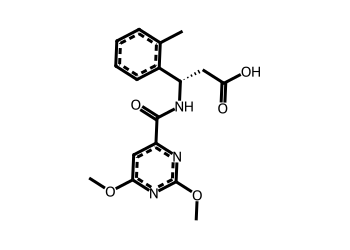 COc1cc(C(=O)N[C@@H](CC(=O)O)c2ccccc2C)nc(OC)n1